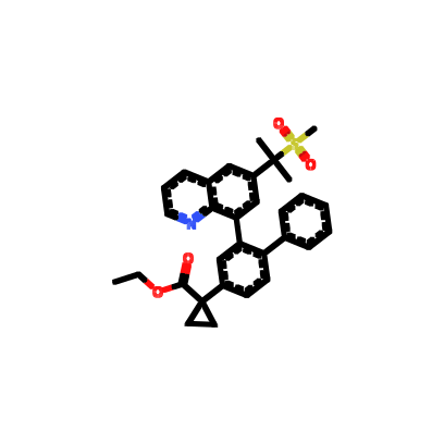 CCOC(=O)C1(c2ccc(-c3ccccc3)c(-c3cc(C(C)(C)S(C)(=O)=O)cc4cccnc34)c2)CC1